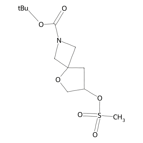 CC(C)(C)OC(=O)N1CC2(CC(OS(C)(=O)=O)CO2)C1